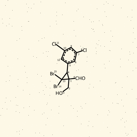 O=CC1(CO)C(c2cc(Cl)cc(Cl)c2)C1(Br)Br